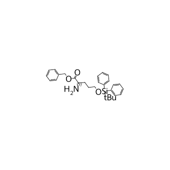 CC(C)(C)[Si](OCCC[C@H](N)C(=O)OCc1ccccc1)(c1ccccc1)c1ccccc1